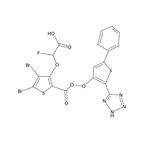 O=C(OOc1cc(-c2ccccc2)sc1-c1nn[nH]n1)c1sc(Br)c(Br)c1OC(F)C(=O)O